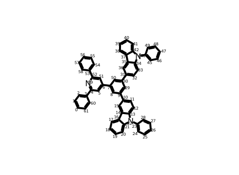 c1ccc(-c2cc(-c3cc(-c4ccc5c(c4)c4ccccc4n5-c4ccccc4)cc(-c4ccc5c(c4)c4ccccc4n5-c4ccccc4)c3)cc(-c3ccccc3)n2)cc1